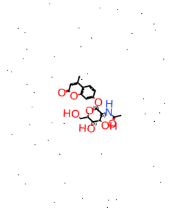 CC(=O)N[C@H]1C(O)[C@H](O)C(CO)O[C@H]1Oc1ccc2c(C)cc(=O)oc2c1